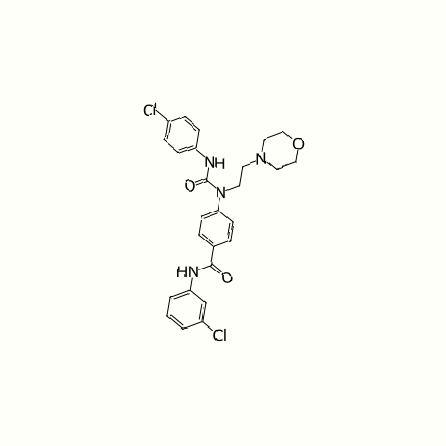 O=C(Nc1cccc(Cl)c1)c1ccc(N(CCN2CCOCC2)C(=O)Nc2ccc(Cl)cc2)cc1